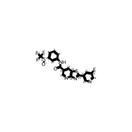 O=C(Nc1cccc([S+]([O-])C(F)(F)F)c1)c1cnc2nc(-c3cncc(F)c3)sc2c1